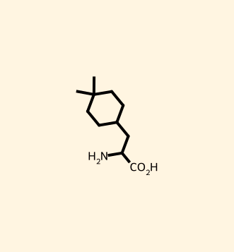 CC1(C)CCC(CC(N)C(=O)O)CC1